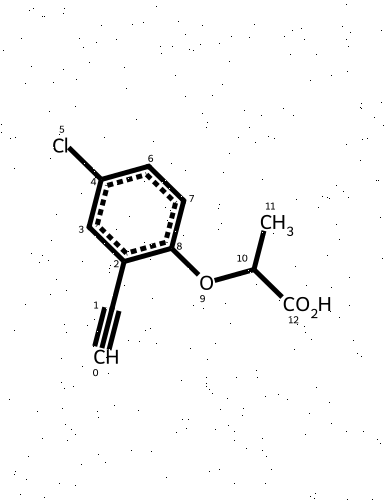 C#Cc1cc(Cl)ccc1OC(C)C(=O)O